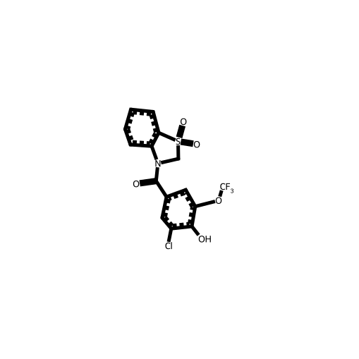 O=C(c1cc(Cl)c(O)c(OC(F)(F)F)c1)N1CS(=O)(=O)c2ccccc21